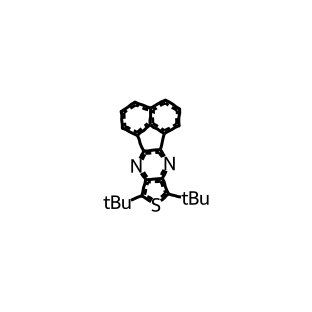 CC(C)(C)c1sc(C(C)(C)C)c2nc3c(nc12)-c1cccc2cccc-3c12